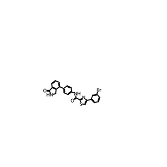 O=C(Nc1ccc(-c2cccc3c2CNC3=O)cc1)c1nc(-c2cccc(Br)c2)cs1